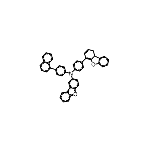 C1=CC(c2ccc(N(c3ccc(-c4cccc5ccccc45)cc3)c3ccc4oc5ccccc5c4c3)cc2)=C2Oc3ccccc3C2C1